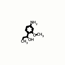 CCC(O)c1ccc(N)cc1OC